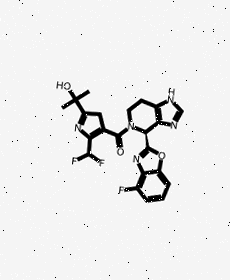 CC(C)(O)C1=NC(C(F)F)=C(C(=O)N2CCc3[nH]cnc3[C@H]2c2nc3c(F)cccc3o2)C1